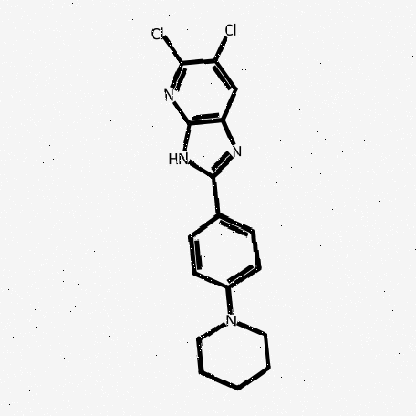 Clc1cc2nc(-c3ccc(N4CCCCC4)cc3)[nH]c2nc1Cl